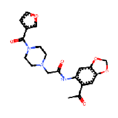 CC(=O)c1cc2c(cc1NC(=O)CN1CCN(C(=O)c3ccoc3)CC1)OCO2